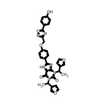 CC(c1ccoc1)n1c(=O)c2[nH]c(-c3ccc(OCc4noc(-c5ccc(O)cc5)n4)cc3)nc2n(C(C)c2ccoc2)c1=O